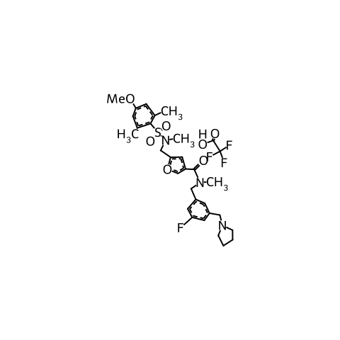 COc1cc(C)c(S(=O)(=O)N(C)Cc2cc(C(=O)N(C)Cc3cc(F)cc(CN4CCCC4)c3)co2)c(C)c1.O=C(O)C(F)(F)F